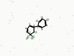 FC1(F)[C]=CC=C(c2cc[c]cc2)C1